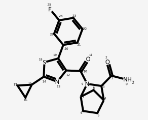 NC(=O)C1C2CCC(C2)N1C(=O)c1nc(C2CC2)sc1-c1cccc(F)c1